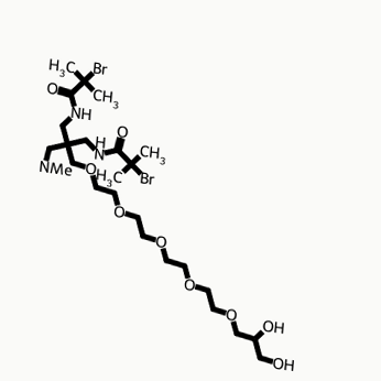 CNCC(CNC(=O)C(C)(C)Br)(CNC(=O)C(C)(C)Br)COCCOCCOCCOCCOCC(O)CO